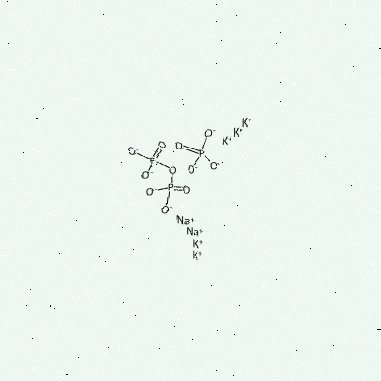 O=P([O-])([O-])OP(=O)([O-])[O-].O=P([O-])([O-])[O-].[K+].[K+].[K+].[K+].[K+].[Na+].[Na+]